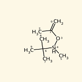 C=C(C)O[SiH](C)C(C)(C)C